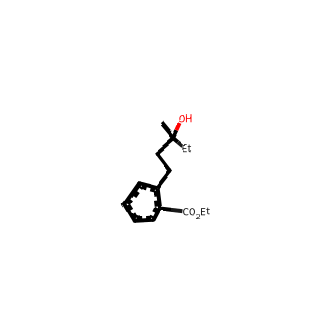 CCOC(=O)c1ccccc1CCC(C)(O)CC